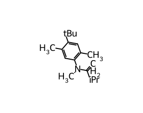 C=C(C(C)C)N(C)c1cc(C)c(C(C)(C)C)cc1C